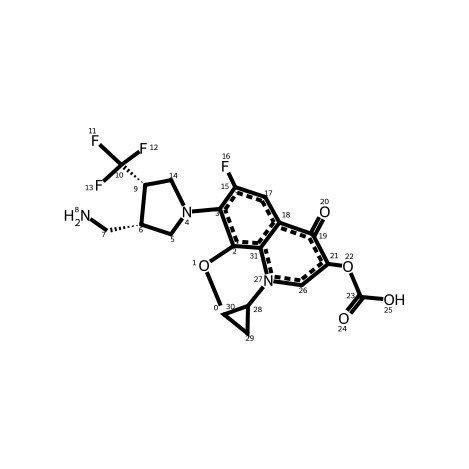 COc1c(N2C[C@H](CN)[C@H](C(F)(F)F)C2)c(F)cc2c(=O)c(OC(=O)O)cn(C3CC3)c12